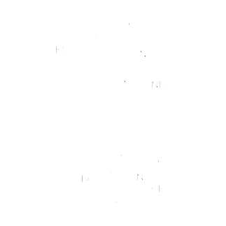 CCOC(=O)C1(c2cnc(Nc3ccc(S(=O)(=O)N(C)C(=O)OC(C)(C)C)cc3)nc2Cl)CC1